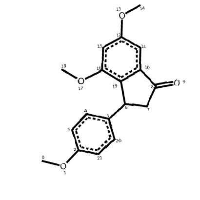 COc1ccc(C2CC(=O)c3cc(OC)cc(OC)c32)cc1